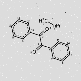 CCCC.O=C(C(=O)c1ccccc1)c1ccccc1